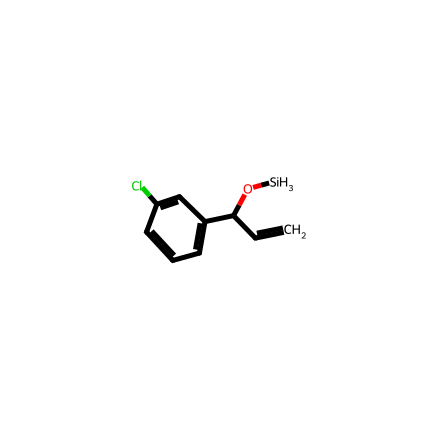 C=CC(O[SiH3])c1cccc(Cl)c1